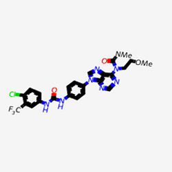 CNC(=O)N(CCOC)c1ncnc2c1ncn2-c1ccc(NC(=O)Nc2ccc(Cl)c(C(F)(F)F)c2)cc1